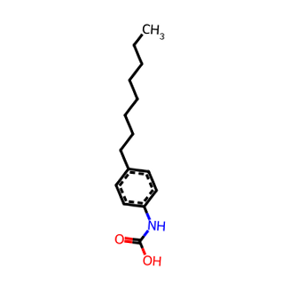 CCCCCCCCc1ccc(NC(=O)O)cc1